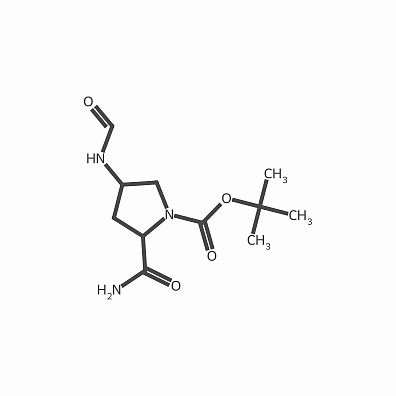 CC(C)(C)OC(=O)N1CC(NC=O)CC1C(N)=O